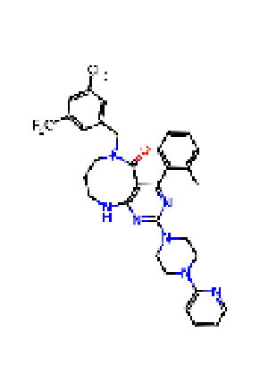 Cc1ccccc1-c1nc(N2CCN(c3ccccn3)CC2)nc2c1C(=O)N(Cc1cc(C(F)(F)F)cc(C(F)(F)F)c1)CCCN2